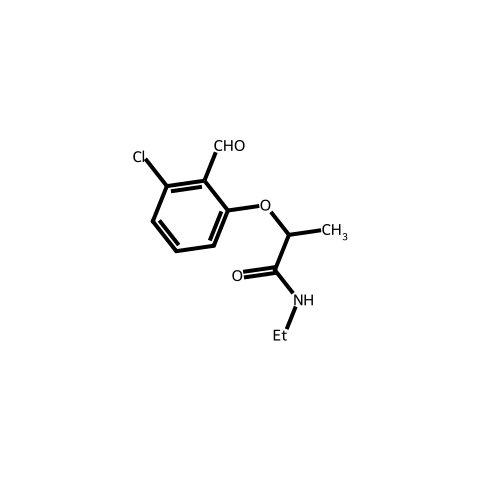 CCNC(=O)C(C)Oc1cccc(Cl)c1C=O